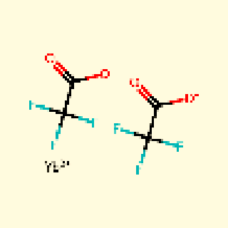 O=C([O-])C(F)(F)F.O=C([O-])C(F)(F)F.[Yb+2]